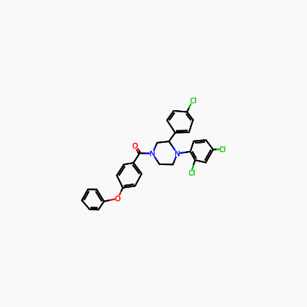 O=C(c1ccc(Oc2ccccc2)cc1)N1CCN(c2ccc(Cl)cc2Cl)C(c2ccc(Cl)cc2)C1